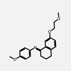 COCCOc1ccc2c(c1)/C(=N/c1ccc(OC)cc1)CCC2